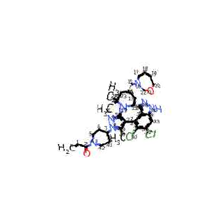 C=CC(=O)N1CCC(n2nc(N3CC[C@@H](CN4CCCCOC4)CC3(C)C)c(-c3c(Cl)c(Cl)cc4[nH]ncc34)c2C)CC1